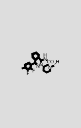 Cc1ccc(C2=NN([C@@H]3CCCN(C)C3)C(NC(=O)O)c3ccccc32)c(F)c1F